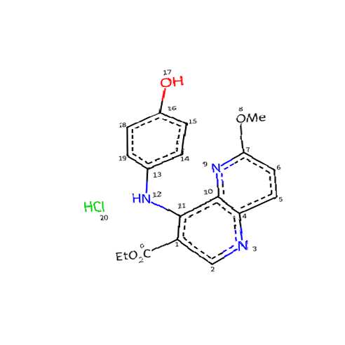 CCOC(=O)c1cnc2ccc(OC)nc2c1Nc1ccc(O)cc1.Cl